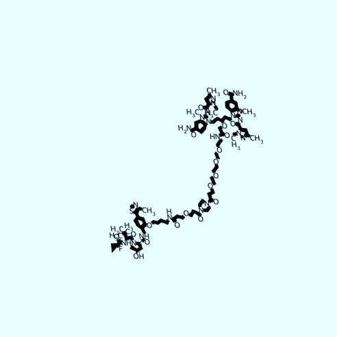 CCn1nc(C)cc1C(=O)N=c1n(C)c2cc(C(N)=O)ccc2n1CCC(CCn1c(=NC(=O)c2cc(C)nn2CC)n(C)c2cc(C(N)=O)ccc21)OCC(=O)NCCOCCOCCOCCOCCC(=O)N1CCN(C(=O)CCOCCC(=O)NCCCCOc2cc(-c3scnc3C)ccc2CNC(=O)[C@@H]2C[C@@H](O)CN2C(=O)[C@@H](NC(=O)C2(F)CC2)C(C)(C)C)CC1